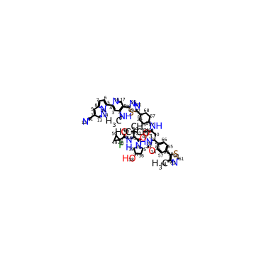 CNc1cc(-c2ccc3cc(C#N)cnn23)ncc1-c1nnc(C2CCC(NC(=O)C[C@H](NC(=O)[C@@H]3C[C@@H](O)CN3C(=O)[C@@H](NC(=O)C3(F)CC3)C(C)(C)C)c3ccc(-c4scnc4C)cc3)CC2)s1